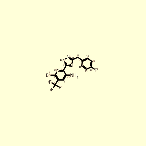 Nc1cc(C(F)(F)F)c(Br)nc1-c1nnc(Cc2ccc(F)cc2)o1